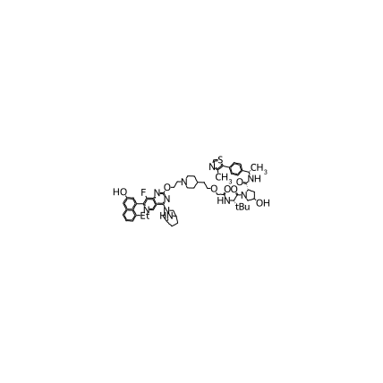 CCc1cccc2cc(O)cc(-c3ncc4c(N5CC6CCC(C5)N6)nc(OCCN5CCC(CCOCC(=O)N[C@H](C(=O)N6C[C@H](O)C[C@H]6C(=O)N[C@@H](C)c6ccc(-c7scnc7C)cc6)C(C)(C)C)CC5)nc4c3F)c12